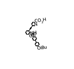 CC(C)COc1ccc(-c2ccc(S(=O)(=O)Nc3ccccc3C#Cc3ccc(C(=O)O)nc3)cc2)cc1